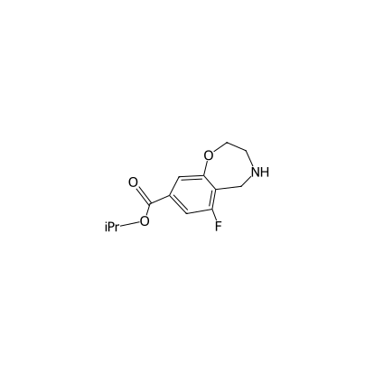 CC(C)OC(=O)c1cc(F)c2c(c1)OCCNC2